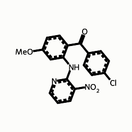 COc1ccc(C(=O)c2ccc(Cl)cc2)c(Nc2ncccc2[N+](=O)[O-])c1